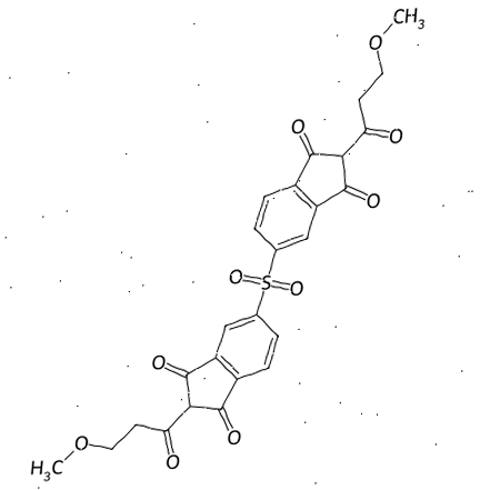 COCCC(=O)C1C(=O)c2ccc(S(=O)(=O)c3ccc4c(c3)C(=O)C(C(=O)CCOC)C4=O)cc2C1=O